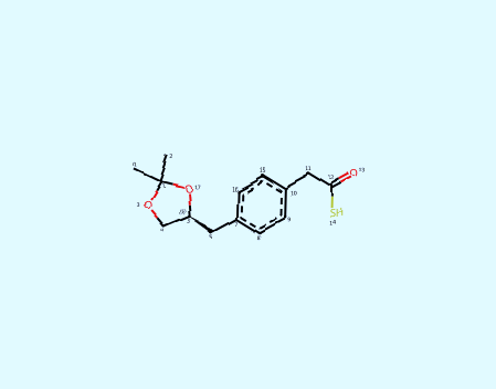 CC1(C)OC[C@H](Cc2ccc(CC(=O)S)cc2)O1